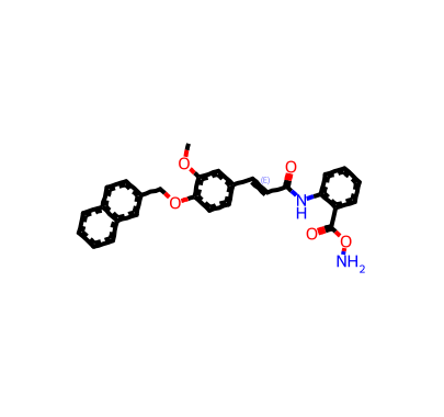 COc1cc(/C=C/C(=O)Nc2ccccc2C(=O)ON)ccc1OCc1ccc2ccccc2c1